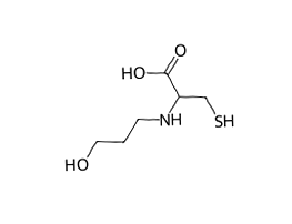 O=C(O)C(CS)NCCCO